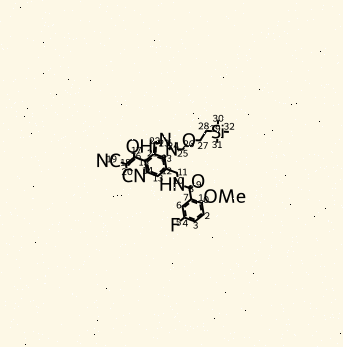 COc1ccc(F)cc1C(=O)NCc1ccc(C(O)=C(C#N)C#N)c2cnn(COCC[Si](C)(C)C)c12